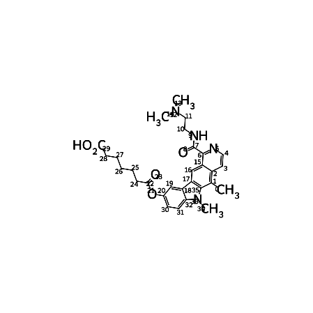 Cc1c2ccnc(C(=O)NCCN(C)C)c2cc2c3cc(OC(=O)CCCCCC(=O)O)ccc3n(C)c12